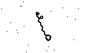 O=C(CBr)CCCCCCCc1ccccc1